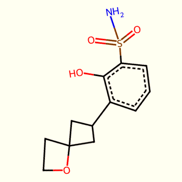 NS(=O)(=O)c1cccc(C2CC3(CCO3)C2)c1O